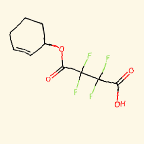 O=C(O)C(F)(F)C(F)(F)C(=O)OC1C=CCCC1